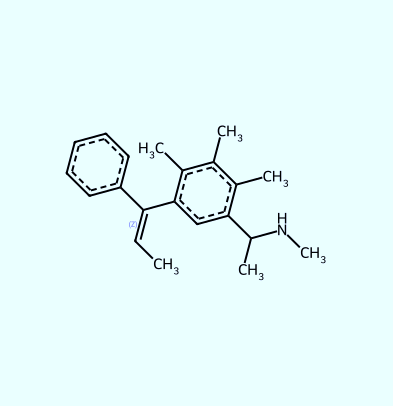 C/C=C(/c1ccccc1)c1cc(C(C)NC)c(C)c(C)c1C